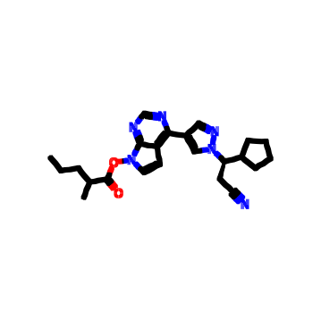 CCCC(C)C(=O)On1ccc2c(-c3cnn([C@H](CC#N)C4CCCC4)c3)ncnc21